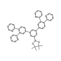 CC1(C)OB(c2cc(-c3ccc(-c4ccccn4)c(-c4ccccn4)c3)cc(-c3ccc(-c4ccccn4)c(-c4ccccn4)c3)c2)OC1(C)C